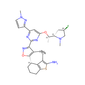 CCCCc1c(-c2nc(O[C@@H](C)[C@@H]3C[C@@H](F)CN3C)cc(-c3ccn(C)n3)n2)noc1[C@H]1CCCc2sc(N)c(C#N)c21